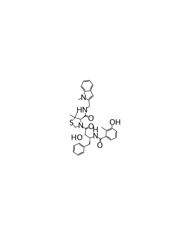 Cc1c(O)cccc1C(=O)N[C@@H](Cc1ccccc1)[C@H](O)C(=O)N1CSC(C)(C)[C@H]1C(=O)NCc1cc2ccccc2n1C